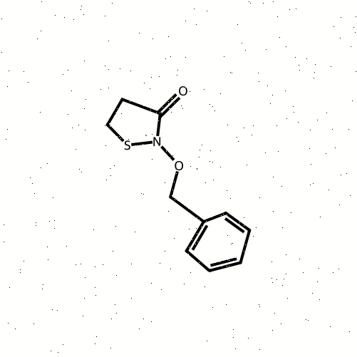 O=C1CCSN1OCc1ccccc1